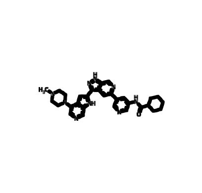 CN1CCN(c2cncc3[nH]c(-c4n[nH]c5cnc(-c6cncc(NC(=O)C7CCCCC7)c6)cc45)cc23)CC1